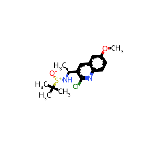 COc1ccc2nc(Cl)c([C@H](C)N[S+]([O-])C(C)(C)C)cc2c1